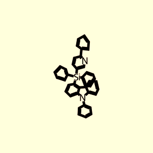 c1ccc(-c2ccc([Si](c3ccccc3)(c3ccccc3)c3cccc4c3c3ccccc3n4-c3ccccc3)cn2)cc1